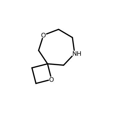 C1COCC2(CCO2)CN1